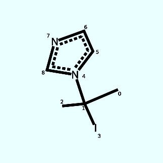 CC(C)(I)n1ccnc1